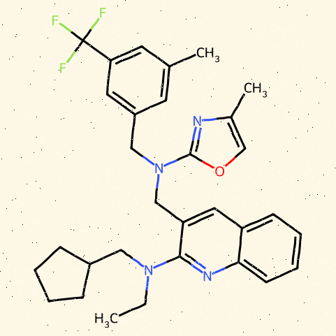 CCN(CC1CCCC1)c1nc2ccccc2cc1CN(Cc1cc(C)cc(C(F)(F)F)c1)c1nc(C)co1